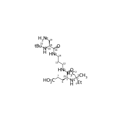 CCC(C)(C)N[C@@H](CCC(=O)O)C(=O)NCCCNC(=O)[C@H](CN)NC(C)(C)C